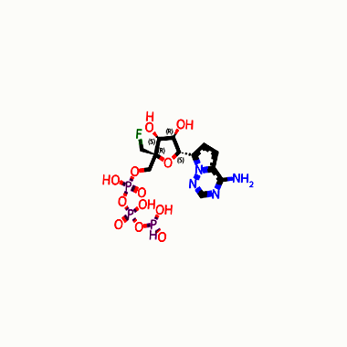 Nc1ncnn2c([C@@H]3O[C@](CF)(COP(=O)(O)OP(=O)(O)O[PH](=O)O)[C@@H](O)[C@H]3O)ccc12